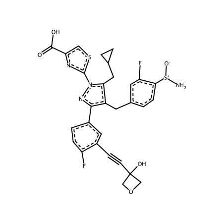 N[S+]([O-])c1ccc(Cc2c(-c3ccc(F)c(C#CC4(O)COC4)c3)nn(-c3nc(C(=O)O)cs3)c2CC2CC2)cc1F